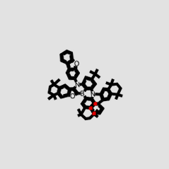 CC(C)(C)c1cc2c3c(c1)N(c1ccc4c(c1)oc1ccccc14)c1c(oc4cc5c(cc14)C(C)(C)CCC5(C)C)B3c1cc3c(cc1N2c1cc2c(cc1-c1ccccc1)C(C)(C)CCC2(C)C)C(C)(C)CCC3(C)C